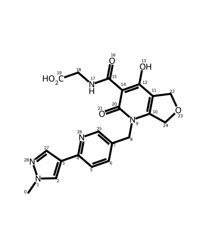 Cn1cc(-c2ccc(Cn3c4c(c(O)c(C(=O)NCC(=O)O)c3=O)COC4)cn2)cn1